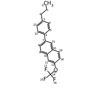 CCCc1ccc(-c2ccc3cc(OC(F)(F)F)ccc3c2)cc1